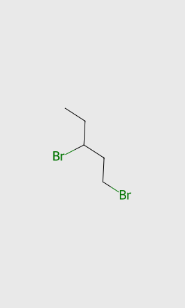 CCC(Br)CCBr